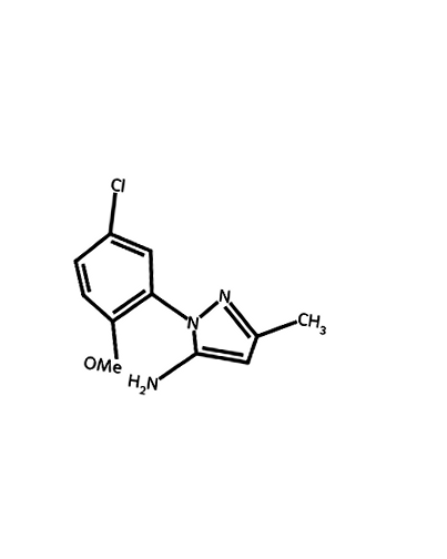 COc1ccc(Cl)cc1-n1nc(C)cc1N